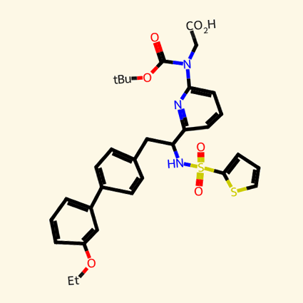 CCOc1cccc(-c2ccc(CC(NS(=O)(=O)c3cccs3)c3cccc(N(CC(=O)O)C(=O)OC(C)(C)C)n3)cc2)c1